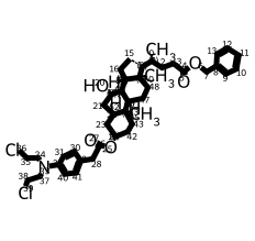 C[C@H](CCC(=O)OCc1ccccc1)[C@H]1CC[C@H]2[C@@H]3[C@H](O)CC4C[C@H](OC(=O)Cc5ccc(N(CCCl)CCCl)cc5)CC[C@]4(C)[C@H]3CC[C@]12C